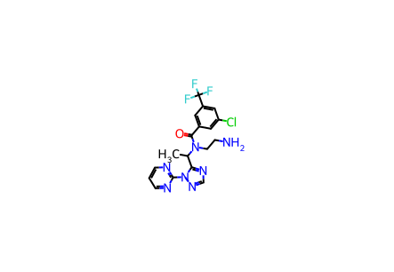 CC(c1ncnn1-c1ncccn1)N(CCN)C(=O)c1cc(Cl)cc(C(F)(F)F)c1